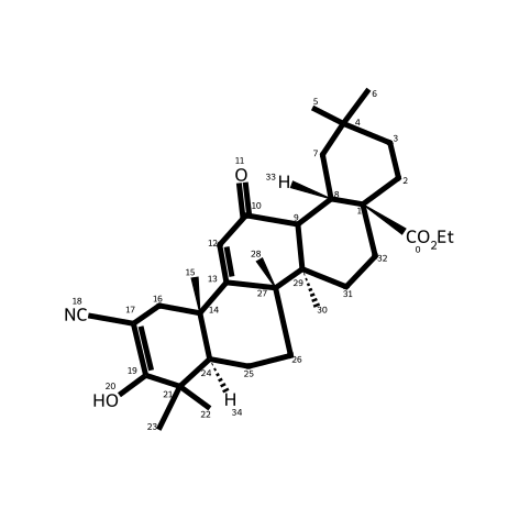 CCOC(=O)[C@]12CCC(C)(C)C[C@H]1C1C(=O)C=C3[C@@]4(C)CC(C#N)=C(O)C(C)(C)[C@@H]4CC[C@@]3(C)[C@]1(C)CC2